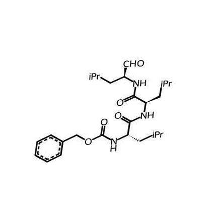 CC(C)C[C@@H](C=O)NC(=O)[C@@H](CC(C)C)NC(=O)[C@H](CC(C)C)NC(=O)OCc1ccccc1